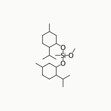 CO[Si](C)(OC1CC(C)CCC1C(C)C)OC1CC(C)CCC1C(C)C